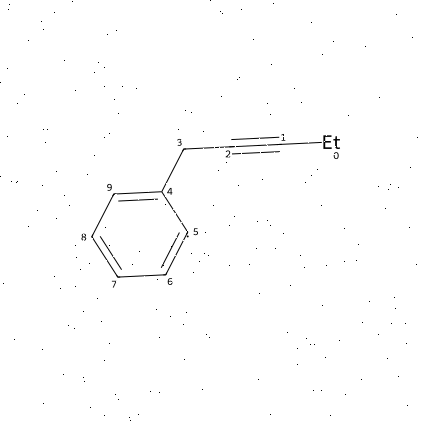 CCC#CCc1[c]cccc1